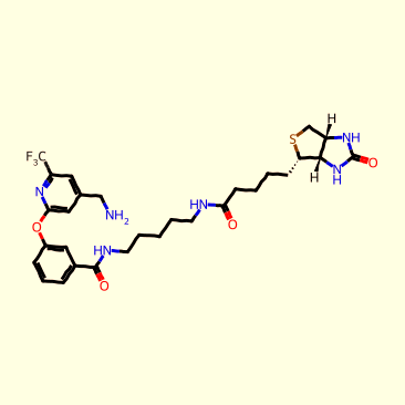 NCc1cc(Oc2cccc(C(=O)NCCCCCNC(=O)CCCC[C@@H]3SC[C@@H]4NC(=O)N[C@@H]43)c2)nc(C(F)(F)F)c1